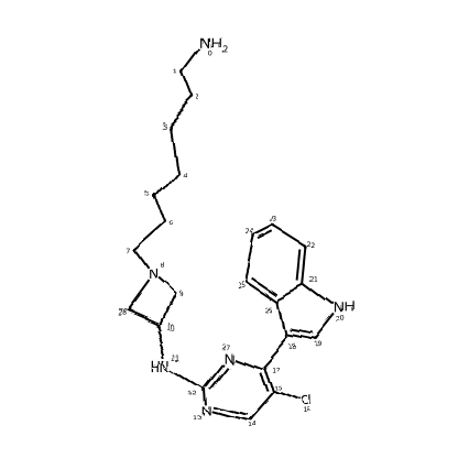 NCCCCCCCN1CC(Nc2ncc(Cl)c(-c3c[nH]c4ccccc34)n2)C1